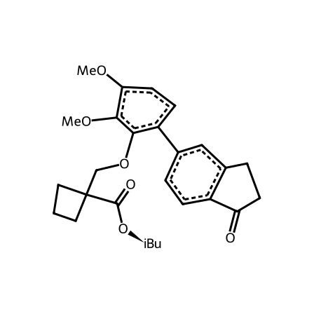 CC[C@H](C)OC(=O)C1(COc2c(-c3ccc4c(c3)CCC4=O)ccc(OC)c2OC)CCC1